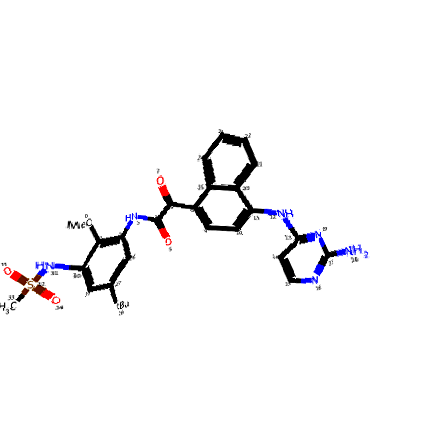 COc1c(NC(=O)C(=O)c2ccc(Nc3ccnc(N)n3)c3ccccc23)cc(C(C)(C)C)cc1NS(C)(=O)=O